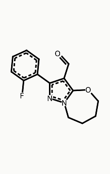 O=Cc1c(-c2ccccc2F)nn2c1OCCCC2